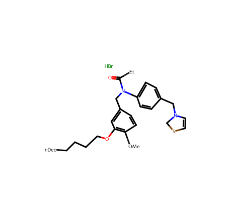 Br.CCCCCCCCCCCCCCOc1cc(CN(C(=O)CC)c2ccc(CN3C=CSC3)cc2)ccc1OC